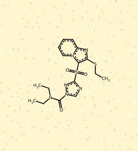 CCSc1nc2ccccn2c1S(=O)(=O)c1ncn(C(=O)N(CC)CC)n1